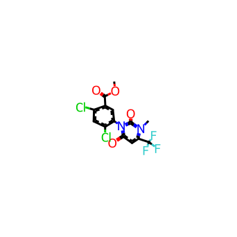 COC(=O)c1cc(-n2c(=O)cc(C(F)(F)F)n(C)c2=O)c(Cl)cc1Cl